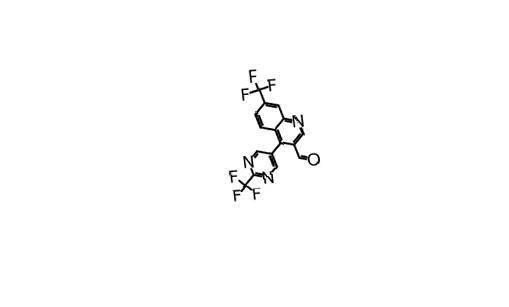 O=Cc1cnc2cc(C(F)(F)F)ccc2c1-c1cnc(C(F)(F)F)nc1